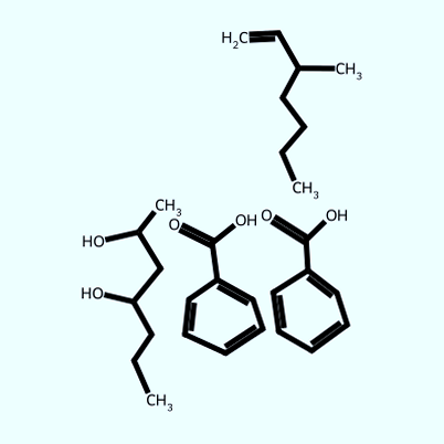 C=CC(C)CCCC.CCCC(O)CC(C)O.O=C(O)c1ccccc1.O=C(O)c1ccccc1